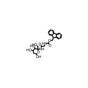 O=C(CNC(=O)OCC1c2ccccc2-c2ccccc21)NC1(CO)OC(O)CC(O)C1O